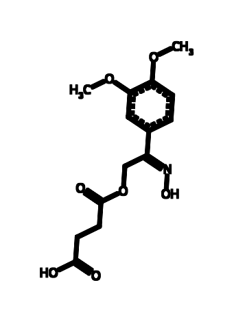 COc1ccc(C(COC(=O)CCC(=O)O)=NO)cc1OC